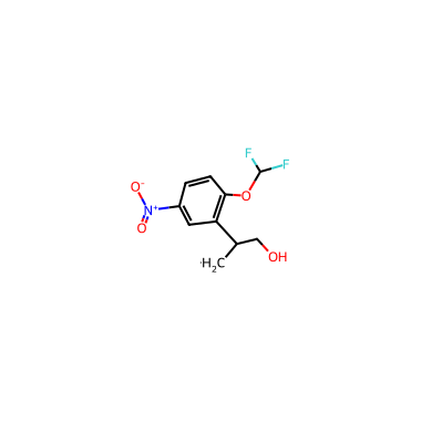 [CH2]C(CO)c1cc([N+](=O)[O-])ccc1OC(F)F